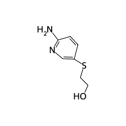 Nc1ccc(SCCO)cn1